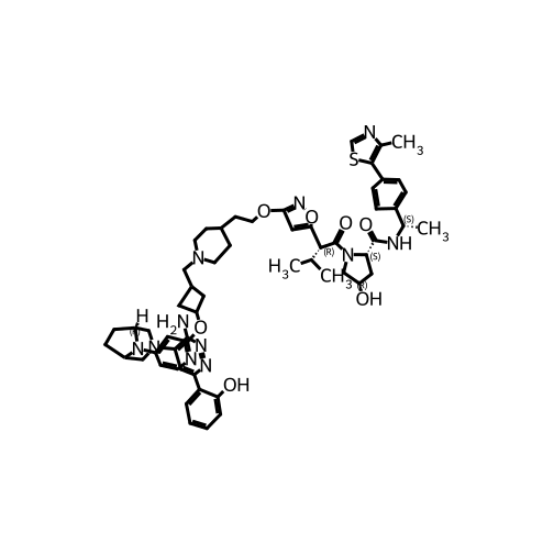 Cc1ncsc1-c1ccc([C@H](C)NC(=O)[C@@H]2C[C@@H](O)CN2C(=O)[C@@H](c2cc(OCCC3CCN(CC4CC(Oc5cc(N6C7CC[C@@H]6CN(c6cc(-c8ccccc8O)nnc6N)C7)ccn5)C4)CC3)no2)C(C)C)cc1